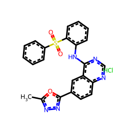 Cc1nnc(-c2ccc3ncnc(Nc4ccccc4S(=O)(=O)c4ccccc4)c3c2)o1.Cl